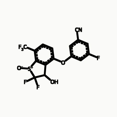 N#Cc1cc(F)cc(Oc2ccc(C(F)(F)F)c3c2C(O)C(F)(F)[S+]3[O-])c1